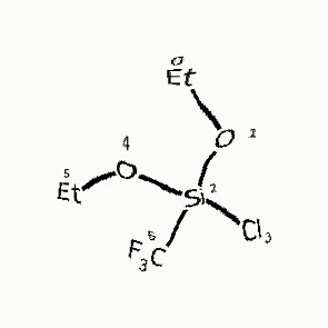 CCO[Si](Cl)(OCC)C(F)(F)F